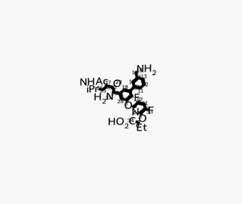 CCC(Oc1nc(Oc2cc(-c3cccc(CN)c3)cc(C(N)C(=O)[C@H](CC(C)C)NC(C)=O)c2)c(F)cc1F)C(=O)O